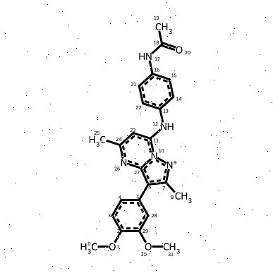 COc1ccc(-c2c(C)nn3c(Nc4ccc(NC(C)=O)cc4)cc(C)nc23)cc1OC